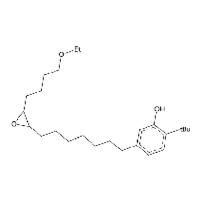 CCOCCCCC1OC1CCCCCCCc1ccc(C(C)(C)C)c(O)c1